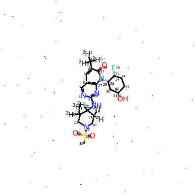 [2H]C([2H])([2H])c1cc2cnc(NC3([2H])C([2H])([2H])CN(S(C)(=O)=O)CC3([2H])[2H])nc2n([C@H]2C[C@H](O)CC[C@@H]2F)c1=O